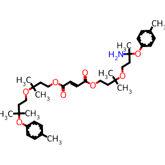 Cc1ccc(OC(C)(C)CCOC(C)(C)CCOC(=O)/C=C/C(=O)OCCC(C)(C)OCCC(C)(N)Oc2ccc(C)cc2)cc1